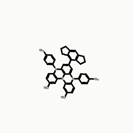 CC(C)(C)c1ccc(N2c3ccc(C(C)(C)C)cc3B3c4cc(C(C)(C)C)ccc4N(c4ccc(C(C)(C)C)cc4)c4cc(-c5c6c(cc7c5CCC7)CCC6)cc2c43)cc1